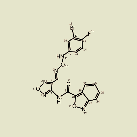 O=C(Nc1nonc1/C=N/ONc1ccc(F)c(Br)c1)c1onc2ccccc12